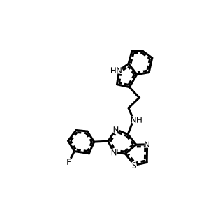 Fc1cccc(-c2nc(NCCc3c[nH]c4ccccc34)c3ncsc3n2)c1